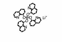 [Li+].c1cnc2c(O[B-](Oc3cccc4cccnc34)(Oc3cccc4cccnc34)Oc3cccc4cccnc34)cccc2c1